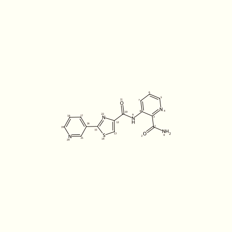 NC(=O)c1ncccc1NC(=O)c1csc(-c2cccnc2)n1